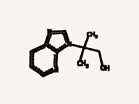 CC(C)(CO)n1cnc2cccnc21